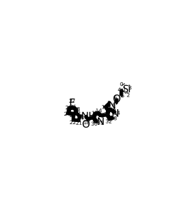 C[Si](C)(C)CCOCn1ccc2c(-c3ccc(C(=O)NC4CCc5ccc(F)cc54)cn3)ccnc21